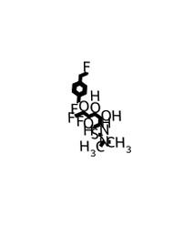 CN(C)C1=N[C@@H]2[C@@H](O)[C@H](O)[C@@H]([C@@H](OCc3ccc(CCF)cc3)C(F)(F)F)O[C@@H]2S1